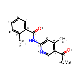 COC(=O)c1cnc(NC(=O)c2ccccc2C(F)(F)F)cc1C